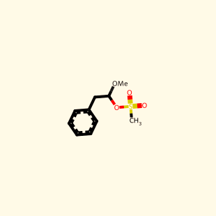 COC(Cc1ccccc1)OS(C)(=O)=O